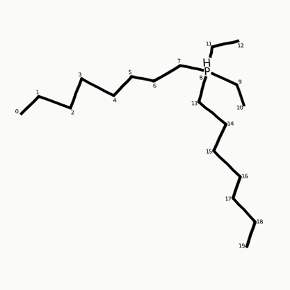 CCCCCCCC[PH](CC)(CC)CCCCCCC